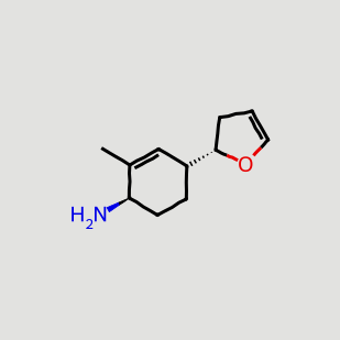 CC1=CC([C@@H]2CC=CO2)CC[C@H]1N